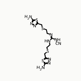 N#CNC(=NCCSCc1nnc(N)s1)NCCSCc1nnc(N)s1